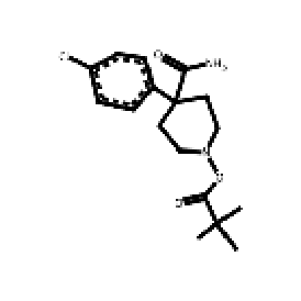 CC(C)(C)C(=O)ON1CCC(C(N)=O)(c2ccc(Cl)cc2)CC1